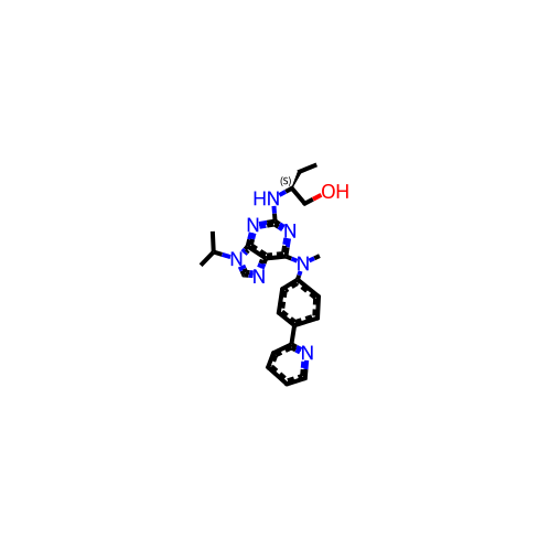 CC[C@@H](CO)Nc1nc(N(C)c2ccc(-c3ccccn3)cc2)c2ncn(C(C)C)c2n1